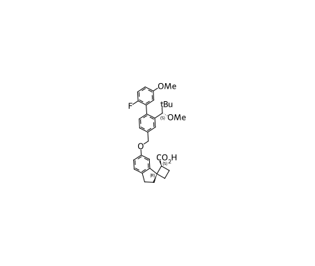 COc1ccc(F)c(-c2ccc(COc3ccc4c(c3)[C@@]3(CC4)CC[C@@H]3C(=O)O)cc2[C@@H](OC)C(C)(C)C)c1